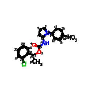 C[C@@H](OC(=O)Nc1cccn1-c1ccc([N+](=O)[O-])cc1)c1ccccc1Cl